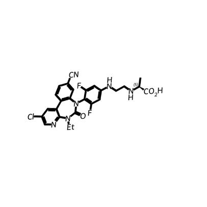 CCN1C(=O)N(c2c(F)cc(NCCN[C@@H](C)C(=O)O)cc2F)c2cc(C#N)ccc2-c2cc(Cl)cnc21